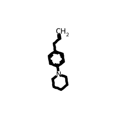 C=CCc1ccc(N2CCCCC2)cc1